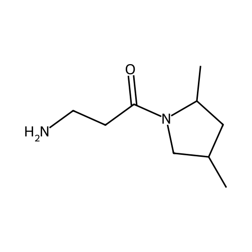 CC1CC(C)N(C(=O)CCN)C1